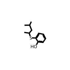 CC(C)CC(C)Sc1ccccc1O